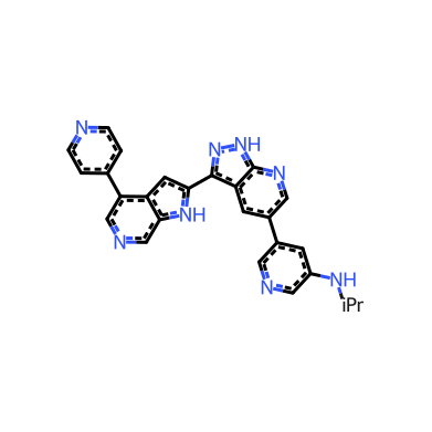 CC(C)Nc1cncc(-c2cnc3[nH]nc(-c4cc5c(-c6ccncc6)cncc5[nH]4)c3c2)c1